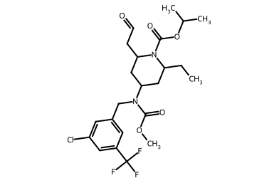 CCC1CC(N(Cc2cc(Cl)cc(C(F)(F)F)c2)C(=O)OC)CC(CC=O)N1C(=O)OC(C)C